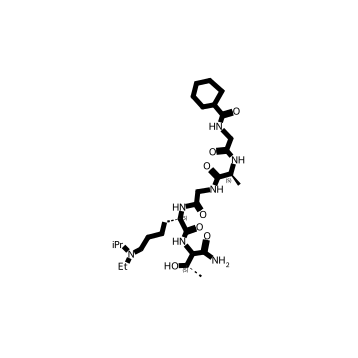 CCN(CCCC[C@H](NC(=O)CNC(=O)[C@H](C)NC(=O)CNC(=O)C1CCCCC1)C(=O)NC(C(N)=O)[C@H](C)O)C(C)C